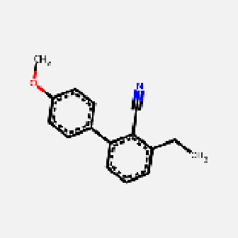 CCc1cccc(-c2ccc(OC)cc2)c1C#N